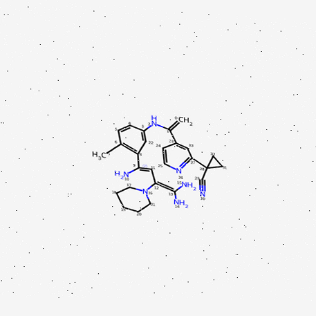 C=C(Nc1ccc(C)c(/C(N)=C/C(=C(N)N)N2CCCCC2)c1)c1ccnc(C2(C#N)CC2)c1